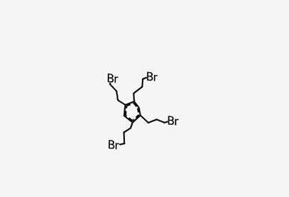 BrCCCc1cc(CCCBr)c(CCCBr)cc1CCCBr